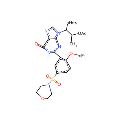 CCCCCCC(C(C)OC(C)=O)n1cnc2c(=O)[nH]c(-c3cc(S(=O)(=O)N4CCOCC4)ccc3OCCC)nc21